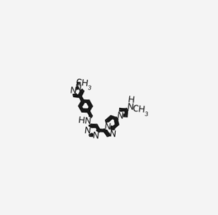 CNC1CN(c2ccn3c(-c4cc(NCc5ccc(-c6cnn(C)c6)cc5)ncn4)cnc3c2)C1